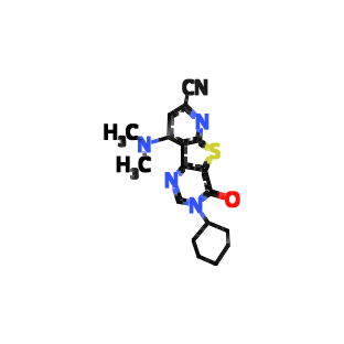 CN(C)c1cc(C#N)nc2sc3c(=O)n(C4CCCCC4)cnc3c12